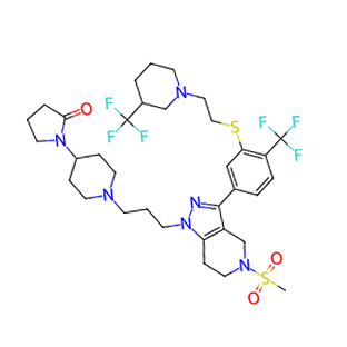 CS(=O)(=O)N1CCc2c(c(-c3ccc(C(F)(F)F)c(SCCN4CCCC(C(F)(F)F)C4)c3)nn2CCCN2CCC(N3CCCC3=O)CC2)C1